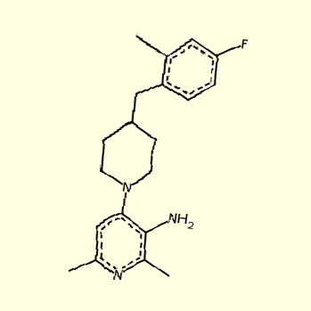 Cc1cc(N2CCC(Cc3ccc(F)cc3C)CC2)c(N)c(C)n1